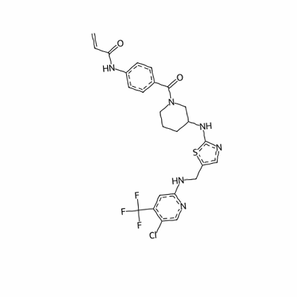 C=CC(=O)Nc1ccc(C(=O)N2CCCC(Nc3ncc(CNc4cc(C(F)(F)F)c(Cl)cn4)s3)C2)cc1